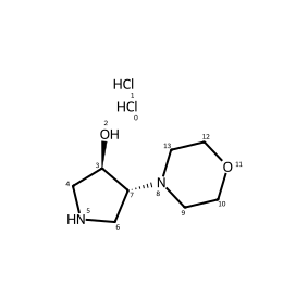 Cl.Cl.O[C@@H]1CNC[C@H]1N1CCOCC1